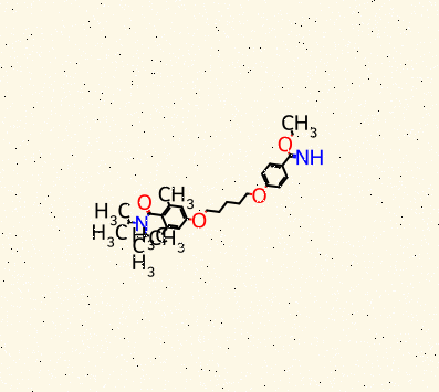 CCOC(=N)c1ccc(OCCCCCOc2cc(C)c(C(=O)N(C(C)C)C(C)C)c(C)c2)cc1